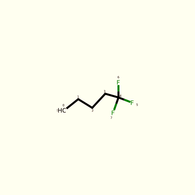 [CH]CCCC(F)(F)F